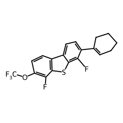 Fc1c(OC(F)(F)F)ccc2c1sc1c(F)c(C3=CCCCC3)ccc12